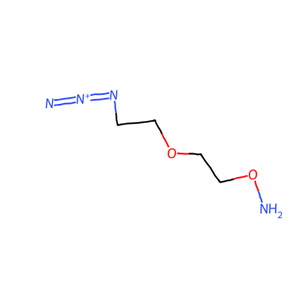 [N-]=[N+]=NCCOCCON